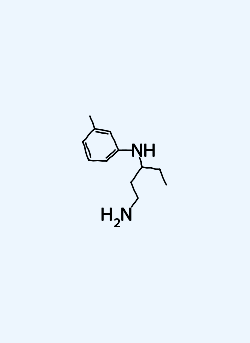 CCC(CCN)Nc1cccc(C)c1